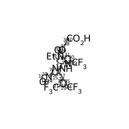 CC[C@@H]1C[C@H](Nc2ncc(N3CCOCC3)cc2Cc2cc(C(F)(F)F)cc(C(F)(F)F)c2)c2nc(C(F)(F)F)ccc2N1C(=O)OCCCC(=O)O